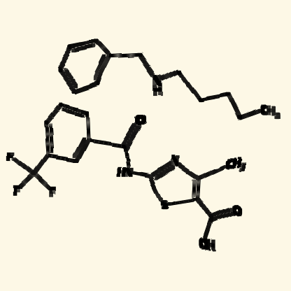 CCCCCNCc1ccccc1.Cc1nc(NC(=O)c2cccc(C(F)(F)F)c2)sc1C(=O)O